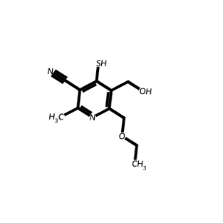 CCOCc1nc(C)c(C#N)c(S)c1CO